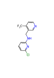 FC(F)(F)c1ccncc1CNc1cccc(Cl)n1